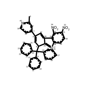 Cc1cc(C2=CC(C(c3ccccc3)(c3ccccc3)c3ccccc3)C3=Nc4ccc([N+](=O)[O-])c([N+](=O)[O-])c4C3=C2)ccn1